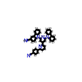 N#Cc1ccc(-c2cccc(-c3cc(-n4c5ccccc5c5ccccc54)nc(-n4c5ccccc5c5cc(C#N)ccc54)c3)n2)cc1